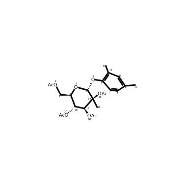 CC(=O)OC[C@H]1O[C@H](Oc2ccc(C)cc2C)[C@@](C)(OC(C)=O)[C@@H](OC(C)=O)[C@@H]1OC(C)=O